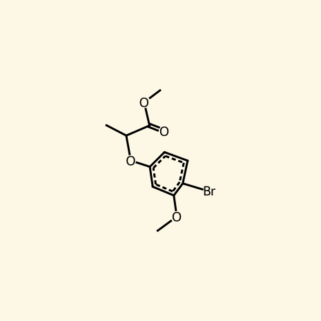 COC(=O)C(C)Oc1ccc(Br)c(OC)c1